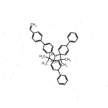 C=Cc1ccc(-c2ccc(N(C3(C(C)(C)C)C=CC(c4ccccc4)C=C3)C3(C(C)(C)C)C=CC(c4ccccc4)C=C3)cc2)cc1